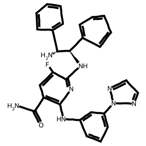 NC(=O)c1cc(F)c(N[C@H](c2ccccc2)[C@H](N)c2ccccc2)nc1Nc1cccc(-n2nccn2)c1